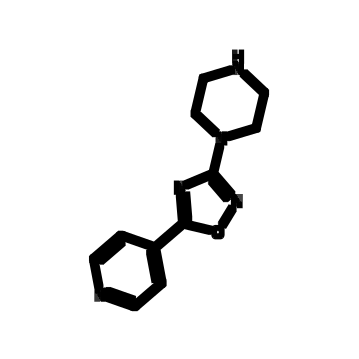 c1cc(-c2nc(N3CCNCC3)no2)ccn1